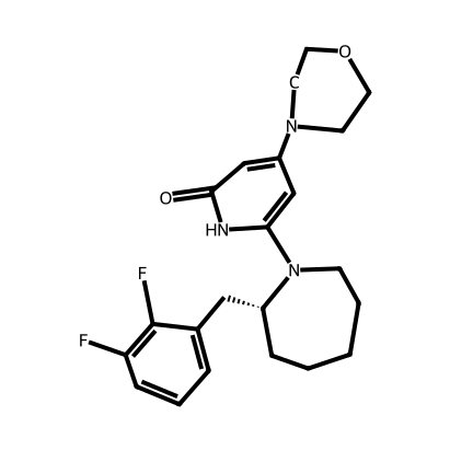 O=c1cc(N2CCOCC2)cc(N2CCCCC[C@@H]2Cc2cccc(F)c2F)[nH]1